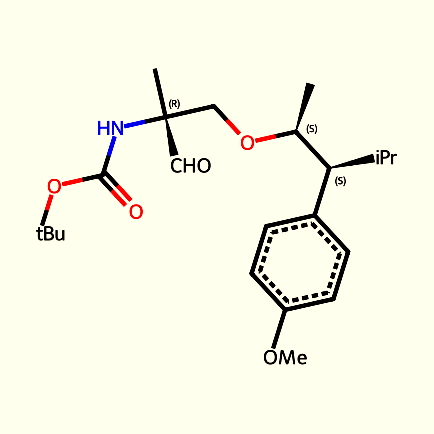 COc1ccc([C@H](C(C)C)[C@H](C)OC[C@](C)(C=O)NC(=O)OC(C)(C)C)cc1